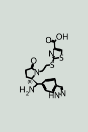 NC(c1ccc2cn[nH]c2c1)[C@H]1CCC(=O)N1CCSc1nc(C(=O)O)cs1